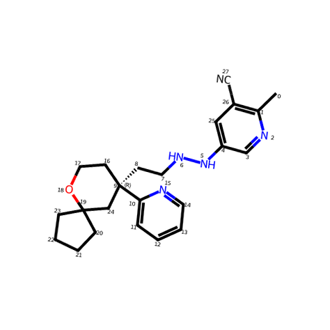 Cc1ncc(NNCC[C@@]2(c3ccccn3)CCOC3(CCCC3)C2)cc1C#N